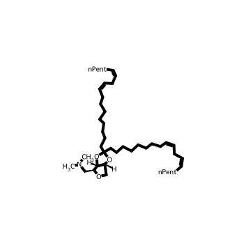 CCCCC/C=C\C/C=C\CCCCCCCCC1(CCCCCCCC/C=C\C/C=C\CCCCC)O[C@H]2[C@H](CN(C)C)OC[C@H]2O1